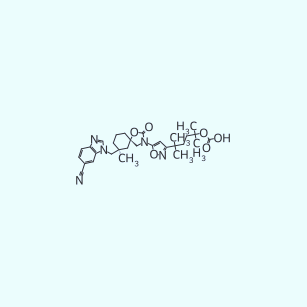 CC(C)(CCC(C)(C)c1cc(N2C[C@@]3(CCC[C@](C)(Cn4cnc5ccc(C#N)cc54)C3)OC2=O)on1)OC(=O)O